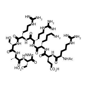 CNC(=O)[C@H](CC(=O)O)NC(=O)[C@H](C)NC(=O)[C@H](CO)NC(=O)[C@H](CCCNC(=N)N)NC(=O)[C@H](CCCNC(=N)N)NC(=O)[C@H](CCCCN)NC(=O)[C@H](CCC(=O)O)NC(=O)[C@H](CCCNC(=N)N)NC(C)=O